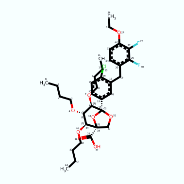 CCCCO[C@@H]1[C@@H](OCCCC)[C@@]2(c3ccc(Cl)c(Cc4ccc(OCC)c(F)c4F)c3)OC[C@](C(=O)O)(O2)[C@H]1OCCCC